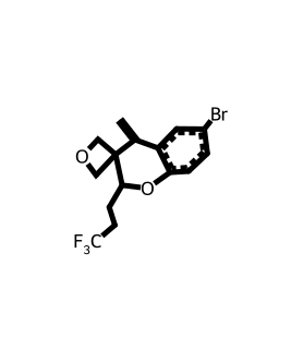 C=C1c2cc(Br)ccc2OC(CCC(F)(F)F)C12COC2